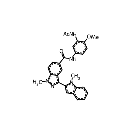 COc1ccc(NC(=O)c2ccc3c(c2)c(-c2cc4ccccc4n2C)nn3C)cc1NC(C)=O